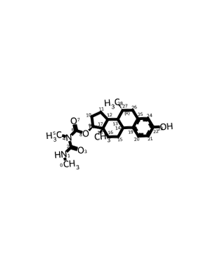 CNC(=O)N(C)C(=O)O[C@H]1CCC2C3C(CC[C@@]21C)c1ccc(O)cc1C[C@H]3C